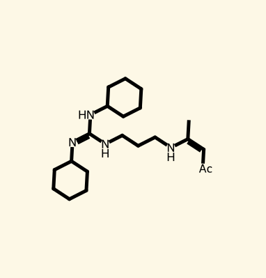 CC(=O)/C=C(/C)NCCCN/C(=N\C1CCCCC1)NC1CCCCC1